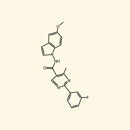 COc1ccc2c(ccn2NC(=O)c2cnc(-c3cccc(F)c3)nc2C)c1